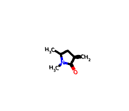 C=C1CC(C)N(C)C1=O